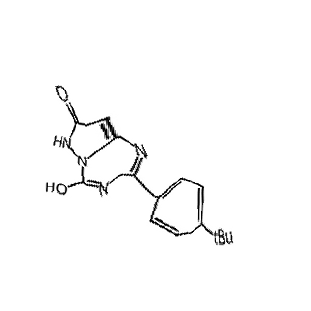 CC(C)(C)c1ccc(-c2nc(O)n3[nH]c(=O)cc3n2)cc1